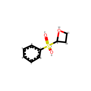 O=S(=O)(c1ccccc1)C1CCO1